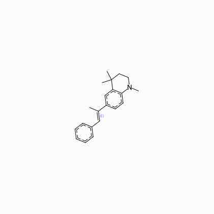 C/C(=C\c1ccccc1)c1ccc2c(c1)C(C)(C)CCN2C